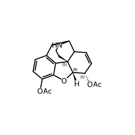 CC(=O)Oc1ccc2c3c1O[C@H]1[C@@H](OC(C)=O)C=CC4C(C2)NCC[C@@]341